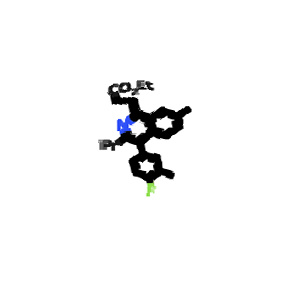 CCOC(=O)CCc1nc(C(C)C)c(-c2ccc(F)c(C)c2)c2ccc(C)cc12